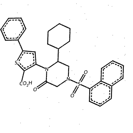 O=C(O)c1sc(-c2ccccc2)cc1N1C(=O)CN(S(=O)(=O)c2cccc3ccccc23)CC1C1CCCCC1